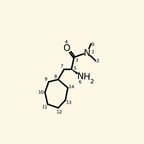 CN(C)C(=O)[C@@H](N)CC1CCCCCC1